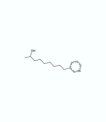 CC(O)CCCCCCCc1cccnc1